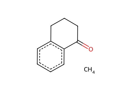 C.O=C1CCCc2ccccc21